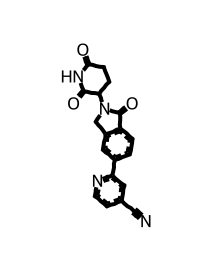 N#Cc1ccnc(-c2ccc3c(c2)CN(C2CCC(=O)NC2=O)C3=O)c1